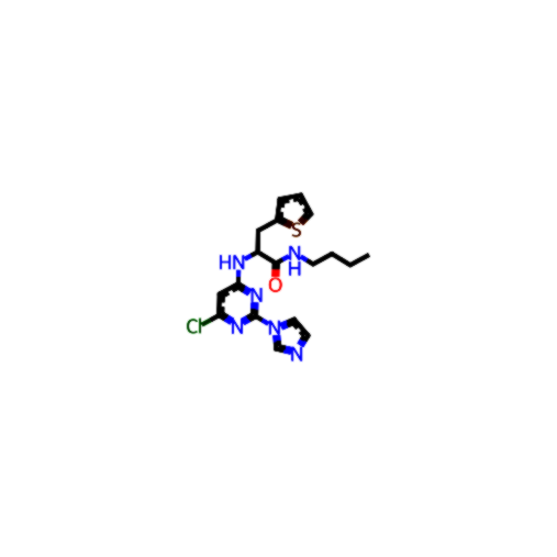 CCCCNC(=O)C(Cc1cccs1)Nc1cc(Cl)nc(-n2ccnc2)n1